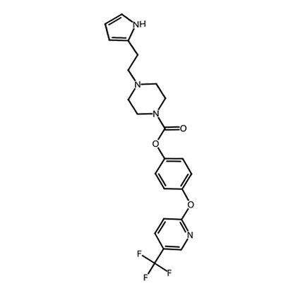 O=C(Oc1ccc(Oc2ccc(C(F)(F)F)cn2)cc1)N1CCN(CCc2ccc[nH]2)CC1